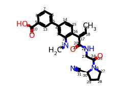 C=Nc1cc(-c2cccc(C(=O)O)c2)ccc1/C(=C\C)C(=O)NCC(=O)N1CCC[C@H]1C#N